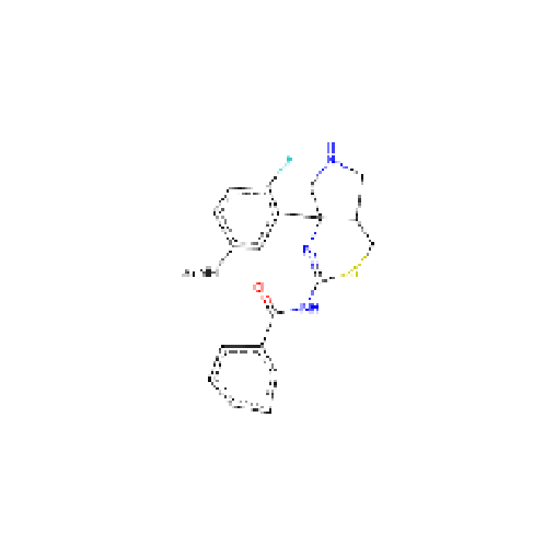 CC(=O)Nc1ccc(F)c(C23CNCC2CSC(NC(=O)c2ccccc2)=N3)c1